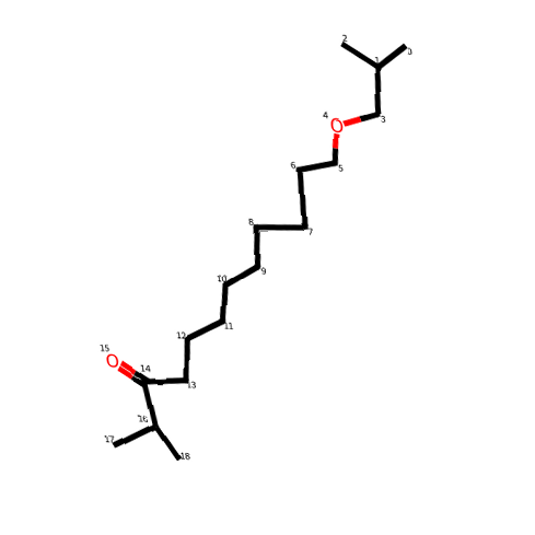 CC(C)COCCCCCCCCCC(=O)C(C)C